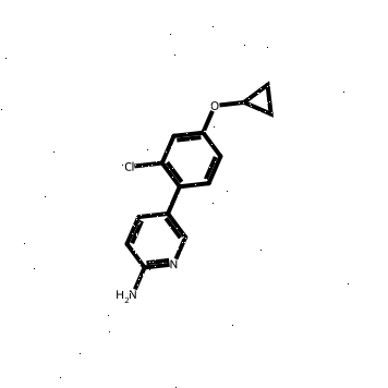 Nc1ccc(-c2ccc(OC3CC3)cc2Cl)cn1